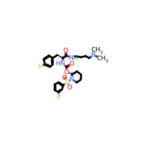 CN(C)CCCCNC(=O)[C@H](Cc1ccc(F)cc1)NC(=O)O[C@H]1CCCCN1S(=O)(=O)c1cccc(F)c1